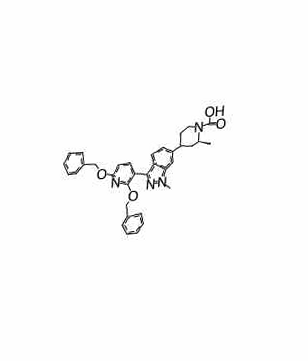 C[C@H]1CC(c2ccc3c(-c4ccc(OCc5ccccc5)nc4OCc4ccccc4)nn(C)c3c2)CCN1C(=O)O